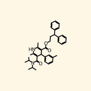 CC1=C(C(=O)OCCC(c2ccccc2)c2ccccc2)C(c2cccc(C)c2)C(C(=O)N(C(C)C)C(C)C)=C(C)N1